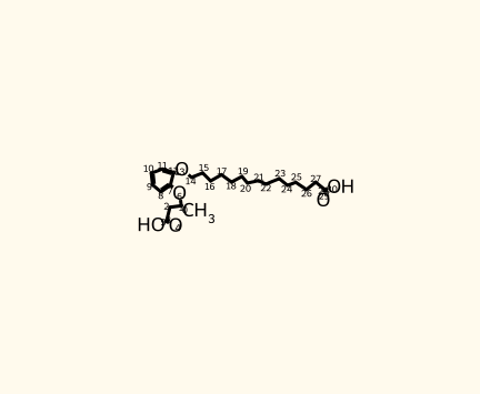 CC(CC(=O)O)Oc1ccccc1OCCCCCCCCCCCCCCC(=O)O